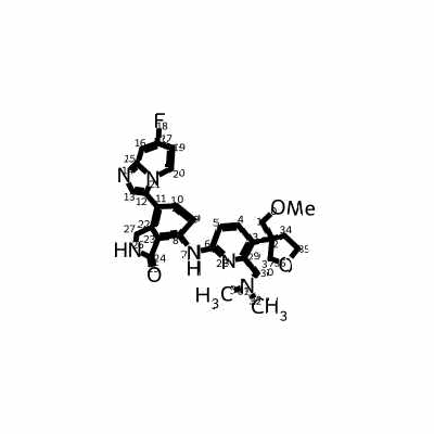 COCC1(c2ccc(Nc3ccc(-c4cnc5cc(F)ccn45)c4c3C(=O)NC4)nc2CN(C)C)CCOC1